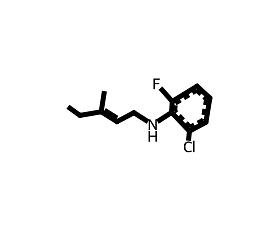 CC/C(C)=C/CNc1c(F)cccc1Cl